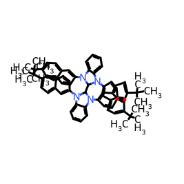 CC(C)(C)c1ccc2cc(N3c4ccccc4N(c4ccc5cc(C(C)(C)C)ccc5c4)C3C3N(c4ccc5cc(C(C)(C)C)ccc5c4)c4ccccc4N3c3ccc4cc(C(C)(C)C)ccc4c3)ccc2c1